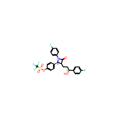 O=C1C(CC[C@H](O)c2ccc(F)cc2)[C@@H](c2ccc(OS(=O)(=O)C(F)(F)F)cc2)N1c1ccc(F)cc1